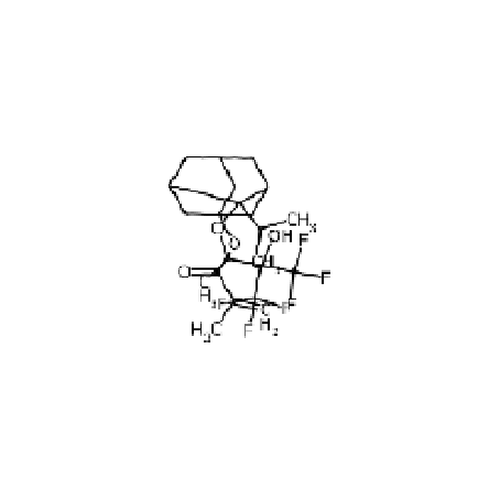 C=C(C)C(=O)OC12CC3CC(C1)C(OC(C)C(O)(C(F)(F)F)C(F)(F)F)(C(C)C)C(C3)C2